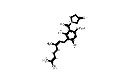 CCCCCc1cc(O)c(CC=C(C)CCC=C(C)C)c(O)c1C(=O)N1CCC(=O)C1